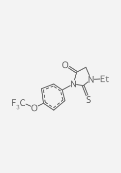 CCN1CC(=O)N(c2ccc(OC(F)(F)F)cc2)C1=S